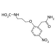 NC(=O)Cc1cc([N+](=O)[O-])ccc1OCCCNC(=O)O